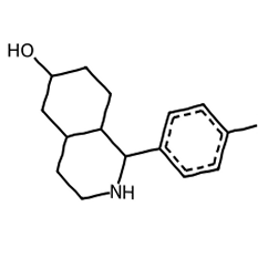 OC1CCC2C(CCNC2c2ccc(F)cc2)C1